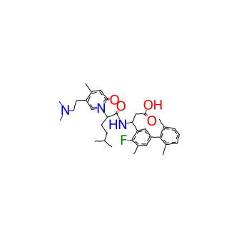 Cc1cc(=O)n(C(CCC(C)C)C(=O)NC(CC(=O)O)c2cc(-c3c(C)cccc3C)cc(C)c2F)cc1CCN(C)C